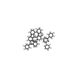 N#Cc1cc(-c2nc(-c3ccccc3)nc(-c3ccccc3)n2)c2oc3ccccc3c2c1-n1c2ccccc2c2ccc3c(c4ccccc4n3-c3ccccc3)c21